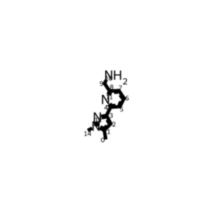 Cc1cc(-c2cccc(CN)n2)nn1C